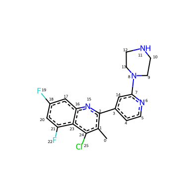 Cc1c(-c2ccnc(N3CCNCC3)c2)nc2cc(F)cc(F)c2c1Cl